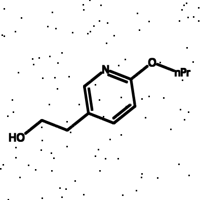 CCCOc1ccc(CCO)cn1